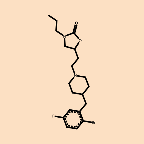 CCCN1CC(CCN2CCC(Cc3cc(F)ccc3Br)CC2)OC1=O